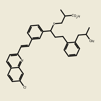 CC(O)Cc1ccccc1CCC(SCC(C)C(=O)O)c1cccc(C=Cc2ccc3ccc(Cl)cc3n2)c1